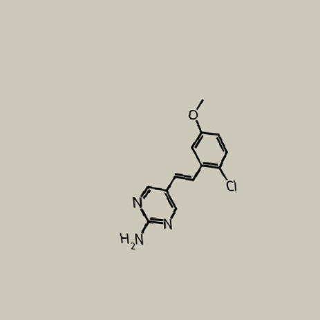 COc1ccc(Cl)c(C=Cc2cnc(N)nc2)c1